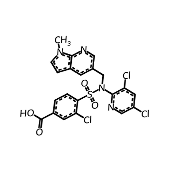 Cn1ccc2cc(CN(c3ncc(Cl)cc3Cl)S(=O)(=O)c3ccc(C(=O)O)cc3Cl)cnc21